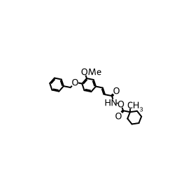 COc1cc(/C=C/C(=O)NOC(=O)C2(C)CCCCC2)ccc1OCc1ccccc1